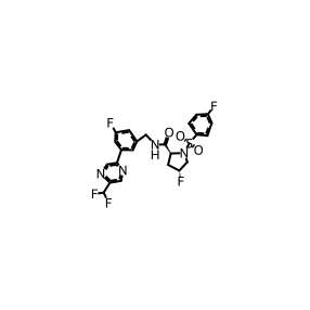 O=C(NCc1cc(F)cc(-c2cnc(C(F)F)cn2)c1)[C@@H]1C[C@@H](F)CN1S(=O)(=O)c1ccc(F)cc1